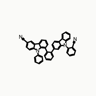 N#Cc1ccc2c(c1)c1cccc(-c3ccccc3-c3ccc4c5ccccc5n(-c5ccccc5C#N)c4c3)c1n2-c1ccccc1